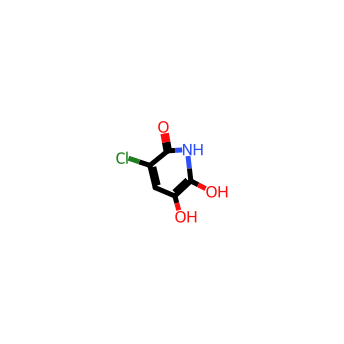 O=c1[nH]c(O)c(O)cc1Cl